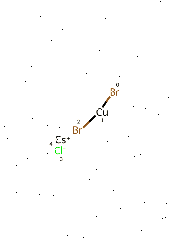 [Br][Cu][Br].[Cl-].[Cs+]